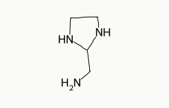 NCC1NCCN1